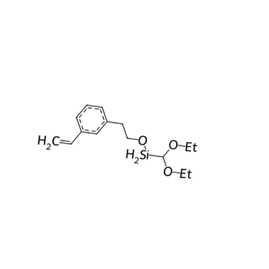 C=Cc1cccc(CCO[SiH2]C(OCC)OCC)c1